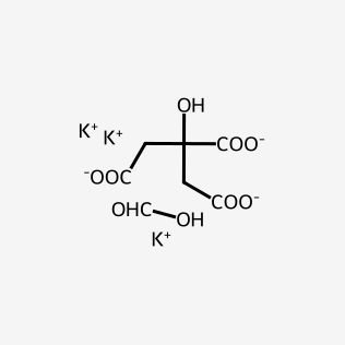 O=C([O-])CC(O)(CC(=O)[O-])C(=O)[O-].O=CO.[K+].[K+].[K+]